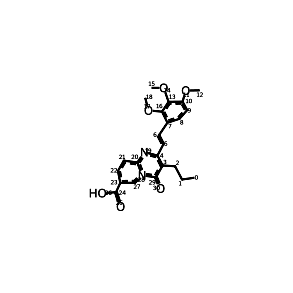 CCCc1c(/C=C/c2ccc(OC)c(OC)c2OC)nc2ccc(C(=O)O)cn2c1=O